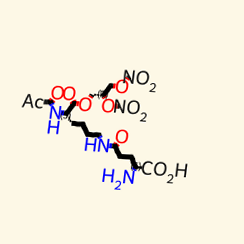 CC(=O)C(=O)N[C@@H](CCCCNC(=O)CC[C@H](N)C(=O)O)C(=O)OC[C@H](CO[N+](=O)[O-])O[N+](=O)[O-]